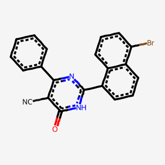 N#Cc1c(-c2ccccc2)nc(-c2cccc3c(Br)cccc23)[nH]c1=O